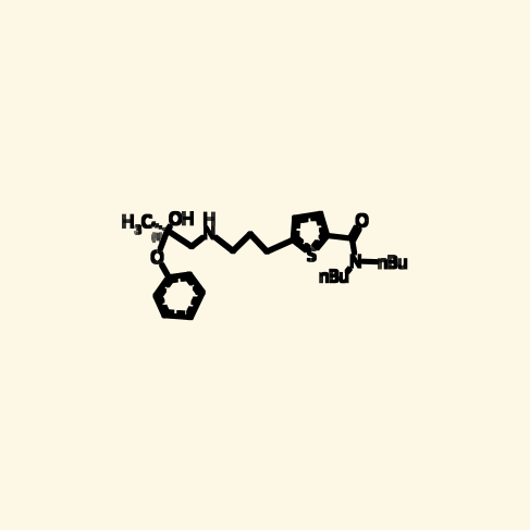 CCCCN(CCCC)C(=O)c1ccc(CCCNC[C@](C)(O)Oc2ccccc2)s1